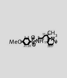 COc1ccc(S(=O)(=O)NCCCC(C)c2cccnn2)cc1